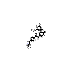 CN1C(=O)CC(C)(c2cc(NC(=O)c3cnc(/C=C/CO)cn3)ccc2F)N=C1N